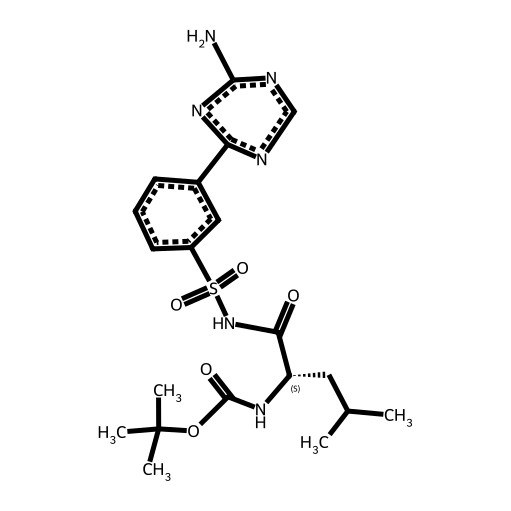 CC(C)C[C@H](NC(=O)OC(C)(C)C)C(=O)NS(=O)(=O)c1cccc(-c2ncnc(N)n2)c1